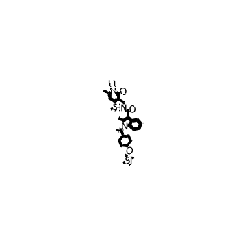 CSc1cc(C)[nH]c(=O)c1CNC(=O)c1c(C)n([C@H](C)C2CCC(OC[Si](C)(C)C)CC2)c2ccccc12